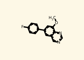 COc1cc(-c2ccc(F)cc2)cc2cncnc12